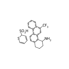 NC1CCCc2ccc3c(cc(C(F)(F)F)c4ccccc43)c21.O=S(=O)(O)C1C=CC=CS1